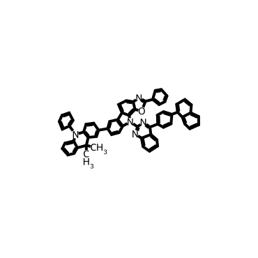 CC1(C)c2ccccc2N(c2ccccc2)c2ccc(-c3ccc4c(c3)c3ccc5nc(-c6ccccc6)oc5c3n4-c3nc(-c4ccc(-c5cccc6ccccc56)cc4)c4ccccc4n3)cc21